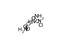 NC(=O)c1cnc(Cl)cc1NCc1cccc(S(N)(=O)=O)c1